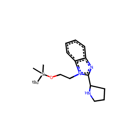 CC(C)(C)[Si](C)(C)OCCn1c(C2CCCN2)nc2ccccc21